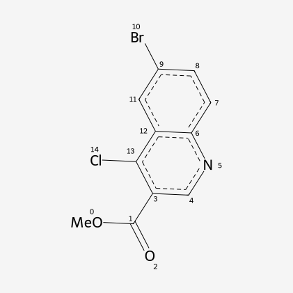 COC(=O)c1cnc2ccc(Br)cc2c1Cl